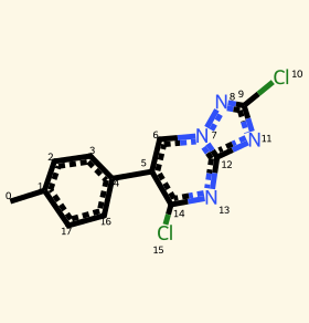 Cc1ccc(-c2cn3nc(Cl)nc3nc2Cl)cc1